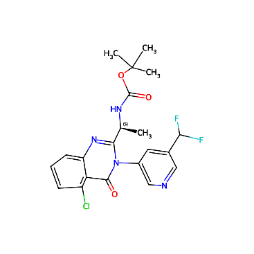 C[C@H](NC(=O)OC(C)(C)C)c1nc2cccc(Cl)c2c(=O)n1-c1cncc(C(F)F)c1